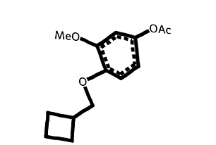 COc1cc(OC(C)=O)ccc1OCC1CCC1